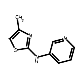 Cc1[c]sc(Nc2cccnc2)n1